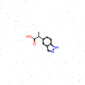 CC(C(=O)O)c1ccc2[nH]ncc2c1